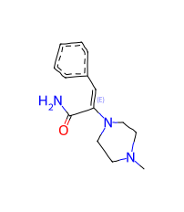 CN1CCN(/C(=C/c2ccccc2)C(N)=O)CC1